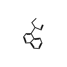 C=CC(CC)c1cccc2ccccc12